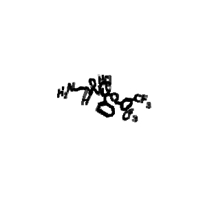 Cl.NCCNC(=O)CN1CCOC(OCc2cc(C(F)(F)F)cc(C(F)(F)F)c2)C1c1ccccc1